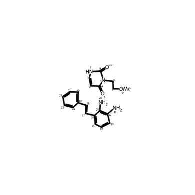 COCCn1c(=O)cc[nH]c1=O.Nc1cccc(C=Cc2ccccc2)c1N